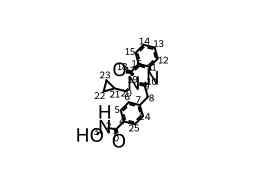 O=C(NO)c1ccc(Cc2nc3ccccc3c(=O)n2CC2CC2)cc1